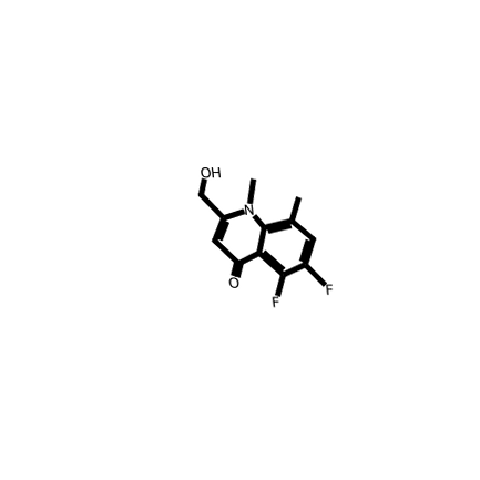 Cc1cc(F)c(F)c2c(=O)cc(CO)n(C)c12